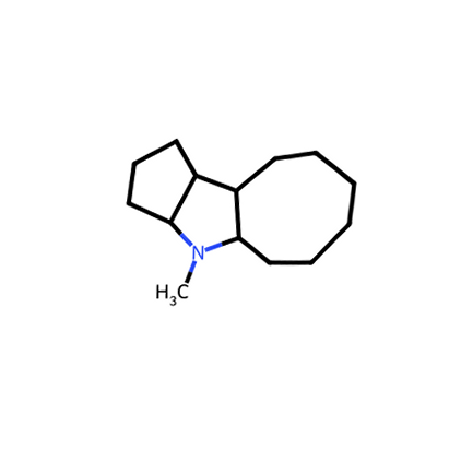 CN1C2CCCCCCC2C2CCCC21